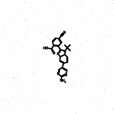 CC(C)(C)N1C(c2cc(C#N)ccc2C(=O)O)=NC2C=C(c3cnc(N)nc3)C=CC21